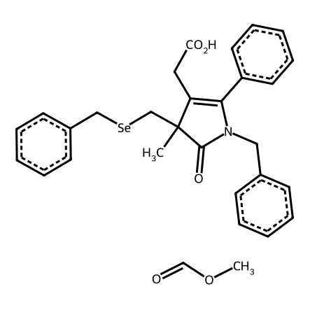 CC1(C[Se]Cc2ccccc2)C(=O)N(Cc2ccccc2)C(c2ccccc2)=C1CC(=O)O.COC=O